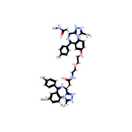 CCNC(=O)C[C@H]1N=C(c2ccc(Cl)cc2)c2cc(OCCOCCNC(=O)C[C@@H]3N=C(c4ccc(Cl)cc4)c4cc(OC)ccc4-n4c(C)nnc43)ccc2-n2c(C)nnc21